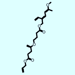 C=CCOC(=O)CCC(=C)OCCCC(=O)OC/C(C=C)=C/C=C(\C)OC